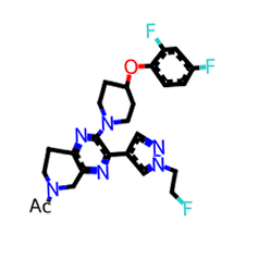 CC(=O)N1CCc2nc(N3CCC(Oc4ccc(F)cc4F)CC3)c(-c3cnn(CCF)c3)nc2C1